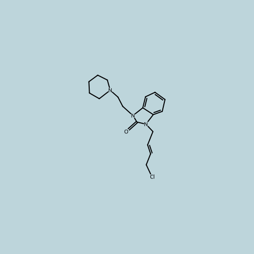 O=c1n(CC=CCCl)c2ccccc2n1CCN1CCCCC1